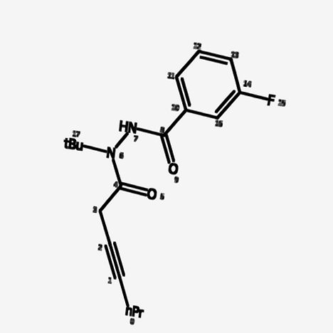 CCCC#CCC(=O)N(NC(=O)c1cccc(F)c1)C(C)(C)C